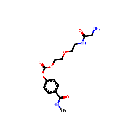 CCCNC(=O)c1ccc(OC(=O)OCCOCCNC(=O)CN)cc1